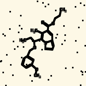 CCCOC(=O)c1cc2cccn2c(C(CC)OCc2cccc(OC)c2)c1C